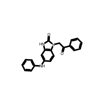 O=C(Cn1c(=O)[nH]c2cc(Nc3ccccc3)ccc21)c1ccccc1